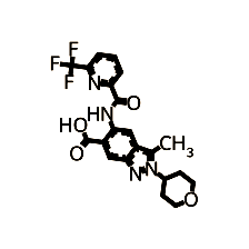 Cc1c2cc(NC(=O)c3cccc(C(F)(F)F)n3)c(C(=O)O)cc2nn1C1CCOCC1